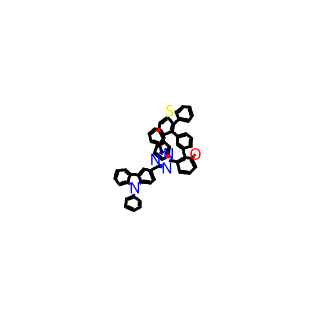 c1ccc(-c2nc(-c3ccc4c(c3)c3ccccc3n4-c3ccccc3)nc(-c3cccc4oc5ccc(-c6c(-c7ccccc7)ccc7sc8ccccc8c67)cc5c34)n2)cc1